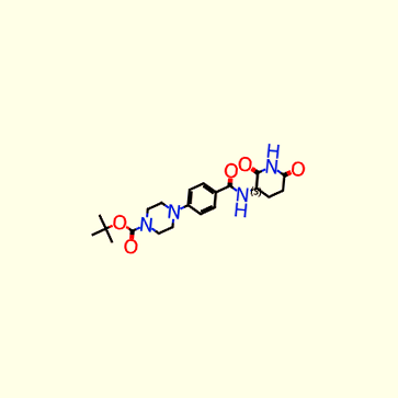 CC(C)(C)OC(=O)N1CCN(c2ccc(C(=O)N[C@H]3CCC(=O)NC3=O)cc2)CC1